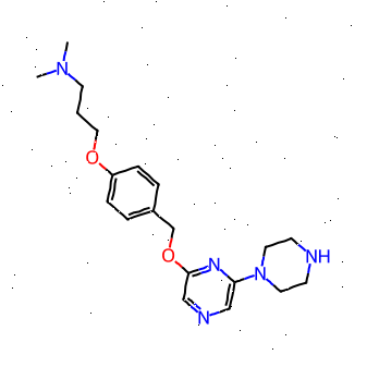 CN(C)CCCOc1ccc(COc2cncc(N3CCNCC3)n2)cc1